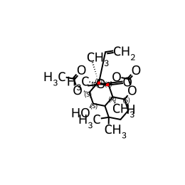 C=C[C@@]1(C)CC(=O)[C@@]23OC(=O)O[C@H]4CCC(C)(C)C([C@H](O)[C@H](OC(C)=O)[C@@]2(C)O1)[C@]43C